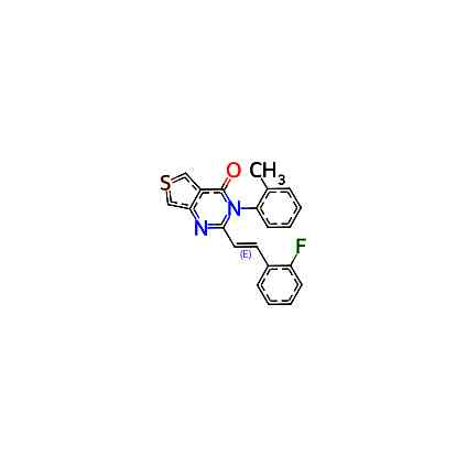 Cc1ccccc1-n1c(/C=C/c2ccccc2F)nc2cscc2c1=O